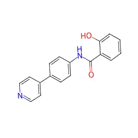 O=C(Nc1ccc(-c2ccncc2)cc1)c1ccccc1O